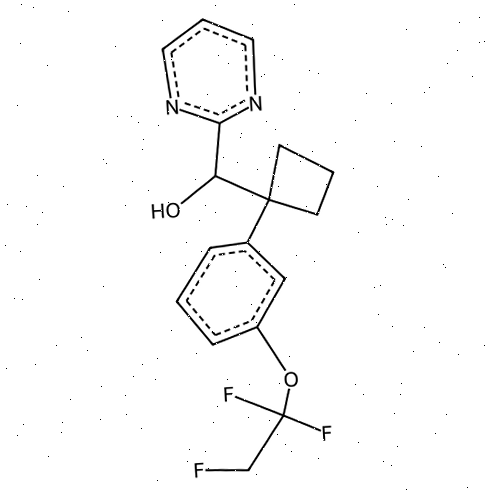 OC(c1ncccn1)C1(c2cccc(OC(F)(F)CF)c2)CCC1